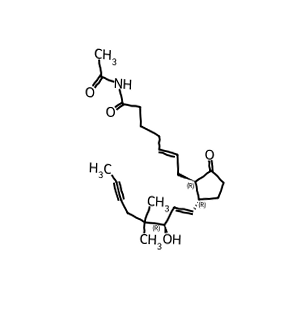 CC#CCC(C)(C)[C@H](O)C=C[C@H]1CCC(=O)[C@@H]1CC=CCCCC(=O)NC(C)=O